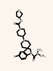 CN(C)C(=O)N1CC2(CCN(C3CCN(C(=O)O[C@H]4CCOC4)CC3)CC2)c2cc(F)ccc21